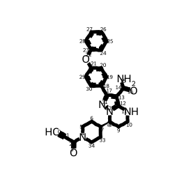 C#CC(=O)N1CCC([C@@H]2CCNc3c(C(N)=O)c(-c4ccc(Oc5ccccc5)cc4)nn32)CC1